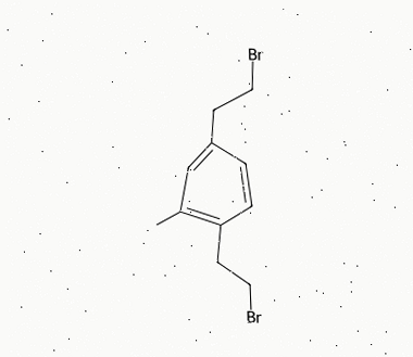 Cc1cc(CCBr)ccc1CCBr